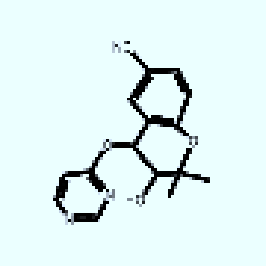 CC1(C)Oc2ccc(C#N)cc2C(Oc2ccncn2)C1O